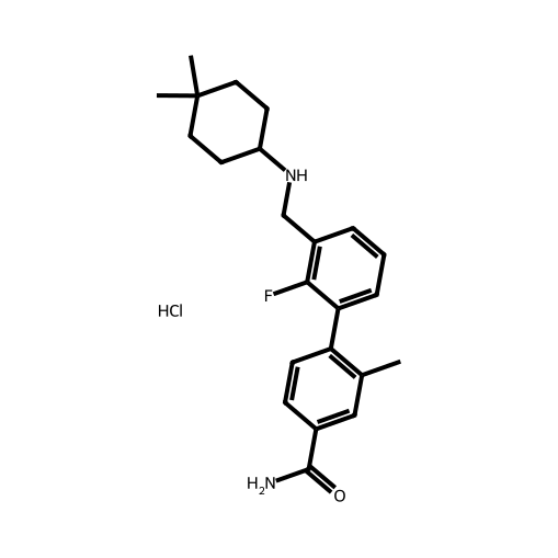 Cc1cc(C(N)=O)ccc1-c1cccc(CNC2CCC(C)(C)CC2)c1F.Cl